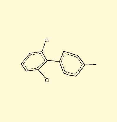 Cc1ccc(-c2c(Cl)cccc2Cl)cc1